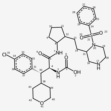 O=C(O)N[C@H](C(=O)NC1CCCC1CCC1CNCCN1S(=O)(=O)c1ccccc1)[C@@H](c1ccc(Cl)cc1)C1CCOCC1